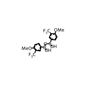 COc1ccc(B(O)OB(O)c2ccc(OC)c(C(F)(F)F)c2)cc1C(F)(F)F